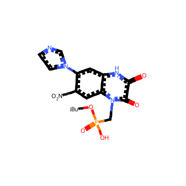 CCC(C)OP(=O)(O)Cn1c(=O)c(=O)[nH]c2cc(-n3ccnc3)c([N+](=O)[O-])cc21